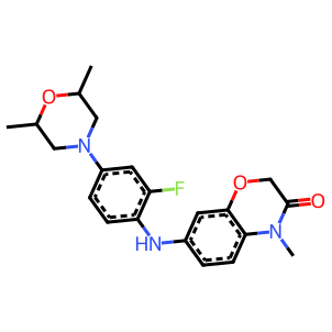 CC1CN(c2ccc(Nc3ccc4c(c3)OCC(=O)N4C)c(F)c2)CC(C)O1